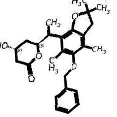 Cc1c2c(c(C(C)[C@@H]3C[C@@H](O)CC(=O)O3)c(C)c1OCc1ccccc1)OC(C)(C)C2